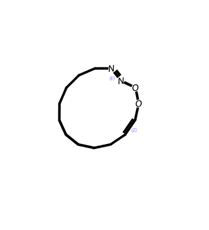 C1=C\OO/N=N/CCCCCCCCC/1